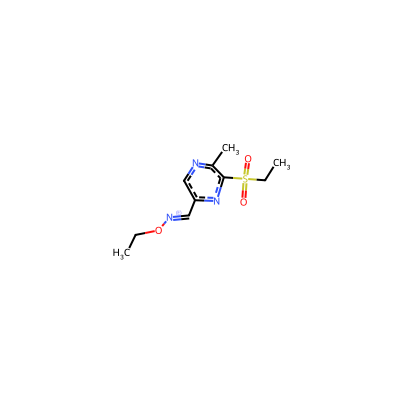 CCO/N=C/c1cnc(C)c(S(=O)(=O)CC)n1